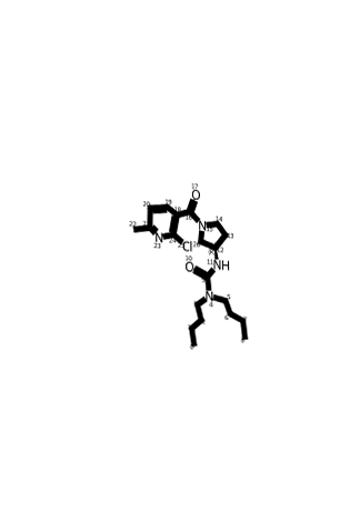 CCCCN(CCCC)C(=O)N[C@@H]1CCN(C(=O)c2ccc(C)nc2Cl)C1